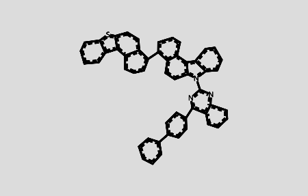 c1ccc(-c2ccc(-c3nc(-n4c5ccccc5c5c6cccc(-c7cccc8c7ccc7sc9ccccc9c78)c6ccc54)nc4ccccc34)cc2)cc1